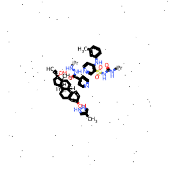 C#C[C@]1(O)CC[C@H]2[C@@H]3CCc4cc(O)ccc4[C@H]3CC[C@@]21C.CC(C)NNC(=O)c1ccncc1.Cc1cccc(Nc2ccncc2S(=O)(=O)NC(=O)NC(C)C)c1.Cc1cn[nH]c1